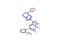 C=c1[nH]nc(-c2nc3c(-c4ccoc4)cncc3[nH]2)/c1=C(F)/C(=N\C)c1cnccc1C